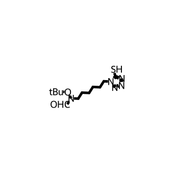 CC(C)(C)ON(C=O)CCCCCCn1nnnc1S